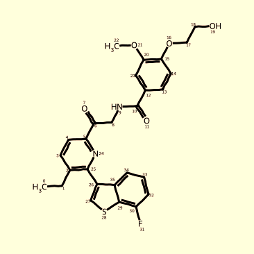 CCc1ccc(C(=O)CNC(=O)c2ccc(OCCO)c(OC)c2)nc1-c1csc2c(F)cccc12